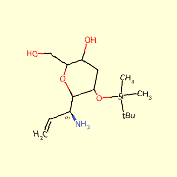 C=C[C@H](N)C1OC(CO)C(O)CC1O[Si](C)(C)C(C)(C)C